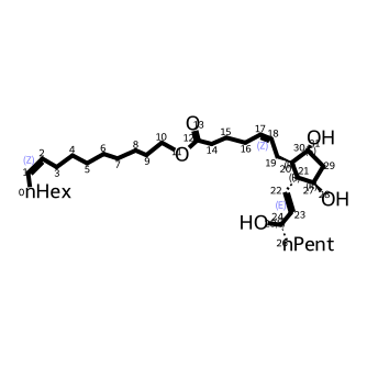 CCCCCC/C=C\CCCCCCCCOC(=O)CCC/C=C\C[C@@H]1[C@@H](/C=C/[C@@H](O)CCCCC)[C@H](O)C[C@@H]1O